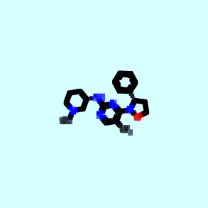 CC(C)(C)N1CCC[C@H](Nc2ncc(C(F)(F)F)c(N3OCC[C@H]3c3ccccc3)n2)C1